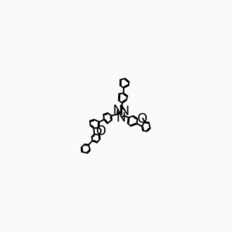 c1ccc(-c2ccc(-c3nc(-c4ccc(-c5cccc6c5oc5ccc(-c7ccccc7)cc56)cc4)nc(-c4ccc5c(c4)oc4ccccc45)n3)cc2)cc1